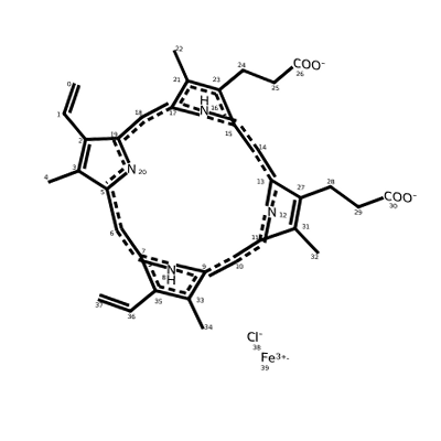 C=CC1=C(C)c2cc3[nH]c(cc4nc(cc5[nH]c(cc1n2)c(C)c5CCC(=O)[O-])C(CCC(=O)[O-])=C4C)c(C)c3C=C.[Cl-].[Fe+3]